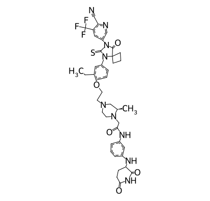 CCc1cc(N2C(=S)N(c3cnc(C#N)c(C(F)(F)F)c3)C(=O)C23CCC3)ccc1OCCN1CCN(CC(=O)Nc2cccc(NC3CCC(=O)NC3=O)c2)[C@H](C)C1